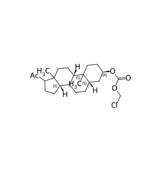 CC(=O)C1CC[C@H]2C3CC[C@H]4C[C@H](OC(=O)OCCl)CCC4(C)[C@H]3CCC12C